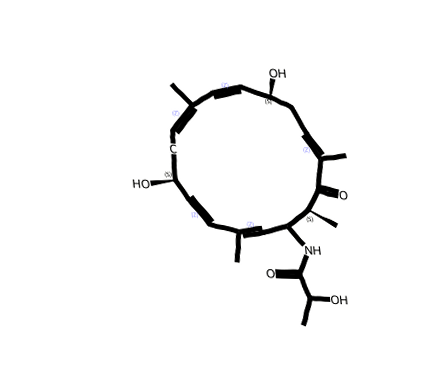 CC1=C/C[C@H](O)/C=C\C(C)=C/C(NC(=O)C(C)O)[C@H](C)C(=O)/C(C)=C\C[C@H](O)/C=C\1